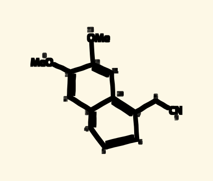 COc1cc2cccc(CC#N)c2cc1OC